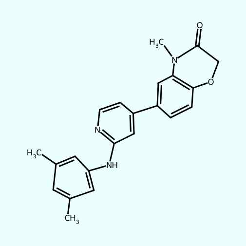 Cc1cc(C)cc(Nc2cc(-c3ccc4c(c3)N(C)C(=O)CO4)ccn2)c1